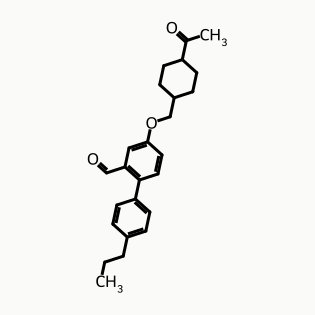 CCCc1ccc(-c2ccc(OCC3CCC(C(C)=O)CC3)cc2C=O)cc1